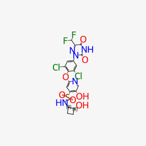 O=c1[nH]c(=O)n(-c2cc(Cl)c(Oc3cc(S(=O)(=O)N[C@@H]4CC[C@H]4O)c(O)cn3)c(Cl)c2)nc1C(F)F